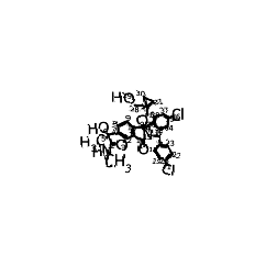 CNC(=O)C(C)(O)c1ccc2c(c1)C(=O)N(Cc1ccc(Cl)cc1)[C@@]2(OCC1(CO)CC1)c1ccc(Cl)cc1